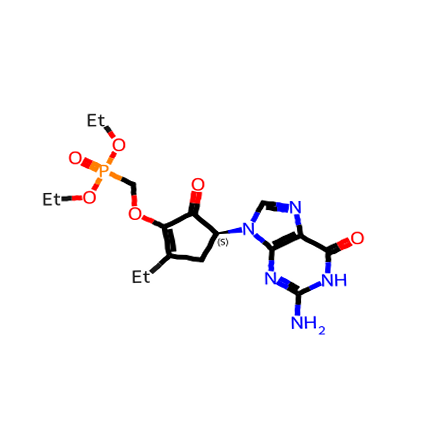 CCOP(=O)(COC1=C(CC)C[C@H](n2cnc3c(=O)[nH]c(N)nc32)C1=O)OCC